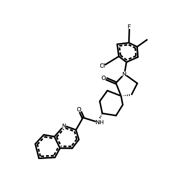 Cc1cc(N2CC[C@]3(CC[C@@H](NC(=O)c4ccc5ccccc5n4)CC3)C2=O)c(Cl)cc1F